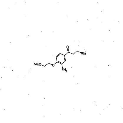 COCCOc1ccc(C(=O)CCC(C)(C)C)cc1P